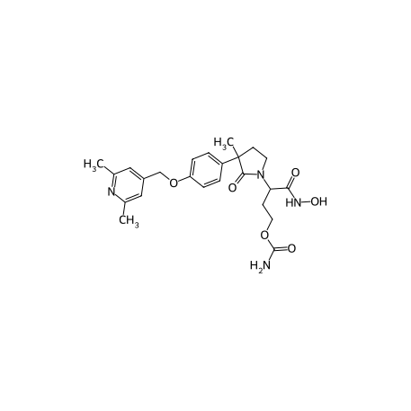 Cc1cc(COc2ccc(C3(C)CCN(C(CCOC(N)=O)C(=O)NO)C3=O)cc2)cc(C)n1